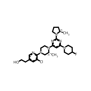 C[C@@H]1CN(c2ncc(CCO)cc2Cl)CCN1c1cc(N2CCC(F)CC2)nc(N2CCC[C@H]2C)n1